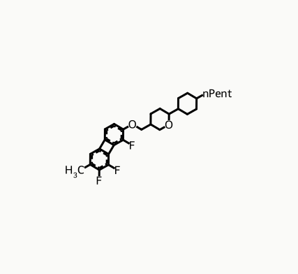 CCCCCC1CCC(C2CCC(COc3ccc4c(c3F)-c3c-4cc(C)c(F)c3F)CO2)CC1